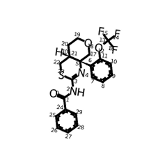 O=C(NC1=N[C@@]2(c3ccccc3OC(F)(F)F)COCC[C@H]2CS1)c1ccccc1